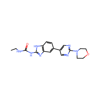 CCNC(=O)Nc1nc2cc(-c3cnc(N4CCOCC4)nc3)ccc2[nH]1